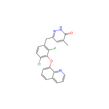 Cc1cc(Cc2ccc(Cl)c(Oc3cccc4cccnc34)c2F)n[nH]c1=O